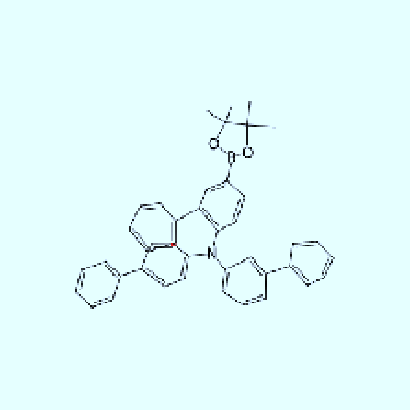 CC1(C)OB(c2ccc(N(c3ccc(-c4ccccc4)cc3)c3cccc(-c4ccccc4)c3)c(-c3ccccc3)c2)OC1(C)C